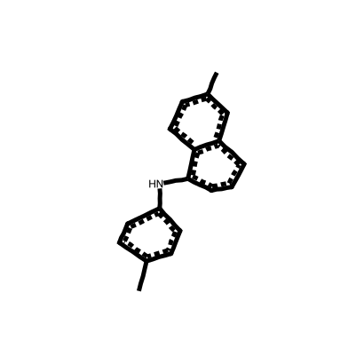 Cc1ccc(Nc2cccc3cc(C)ccc23)cc1